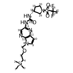 C[Si](C)(C)CCOCn1ccc2nc(NC(=O)N[C@@H]3CCN(S(=O)(=O)C(F)(F)F)C3)cnc21